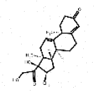 C[C@@H]1C[C@H]2[C@@H]3CCC4=CC(=O)CC[C@]4(C)C3=CC[C@]2(C)[C@@]1(O)C(=O)CO